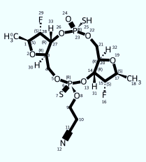 C[C@@H]1O[C@@H]2CO[P@](=S)(OCCC#N)O[C@H]3[C@@H](F)[C@H](C)O[C@@H]3CO[P@@](=O)(S)O[C@H]2[C@H]1F